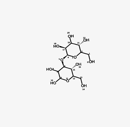 OCC1O[C@@H](O[C@@H]2C(O)C(O)OC(CO)[C@H]2O)[C@@H](O)C(O)[C@@H]1O